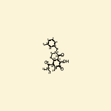 Cc1cccc(CN2CCc3c(c(O)c(=O)n(C)c3C(=O)N(C)C)C2=O)c1